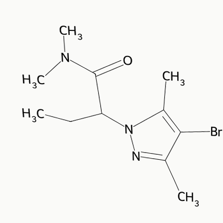 CCC(C(=O)N(C)C)n1nc(C)c(Br)c1C